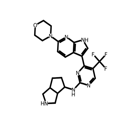 FC(F)(F)c1cnc(NC2CCC3CNCC32)nc1-c1c[nH]c2nc(N3CCOCC3)ccc12